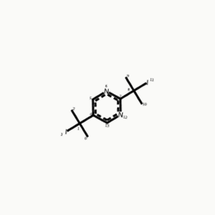 CC(C)(I)c1cnc(C(C)(C)I)nc1